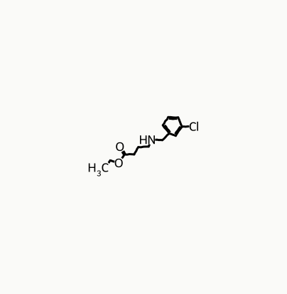 CCOC(=O)CCCNCc1cccc(Cl)c1